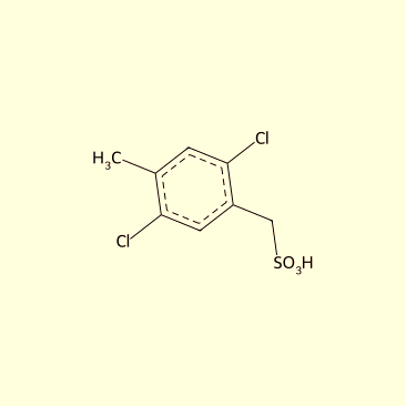 Cc1cc(Cl)c(CS(=O)(=O)O)cc1Cl